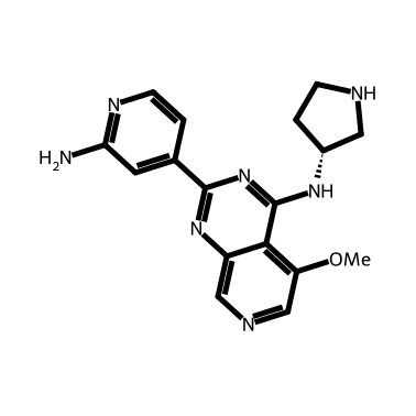 COc1cncc2nc(-c3ccnc(N)c3)nc(N[C@@H]3CCNC3)c12